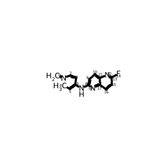 C=N/C=C\C(=C/C)Nc1ccc2nc(F)ccc2n1